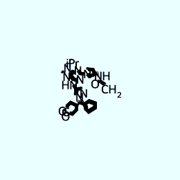 C=CC(=O)N[C@H]1CCN(c2nc(Nc3cnn([C@@H](c4ccccc4)C4CCS(=O)(=O)CC4)c3)c3ncn(C(C)C)c3n2)C1